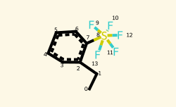 CCc1ccccc1S(F)(F)(F)(F)F